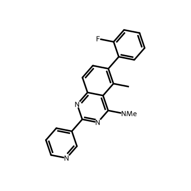 CNc1nc(-c2cccnc2)nc2ccc(-c3ccccc3F)c(C)c12